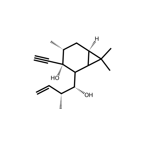 C#C[C@]1(O)C([C@H](O)[C@H](C)C=C)C2[C@@H](C[C@H]1C)C2(C)C